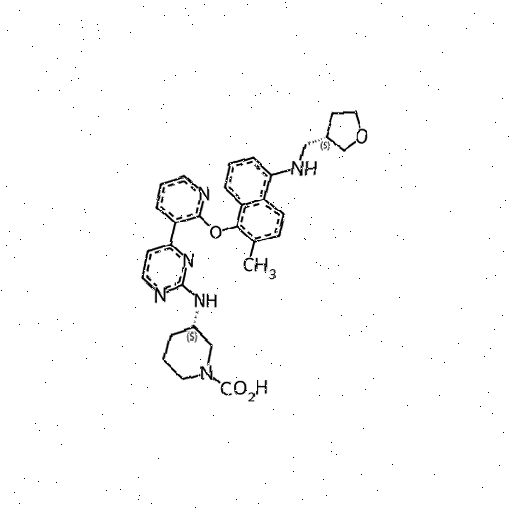 Cc1ccc2c(NC[C@@H]3CCOC3)cccc2c1Oc1ncccc1-c1ccnc(N[C@H]2CCCN(C(=O)O)C2)n1